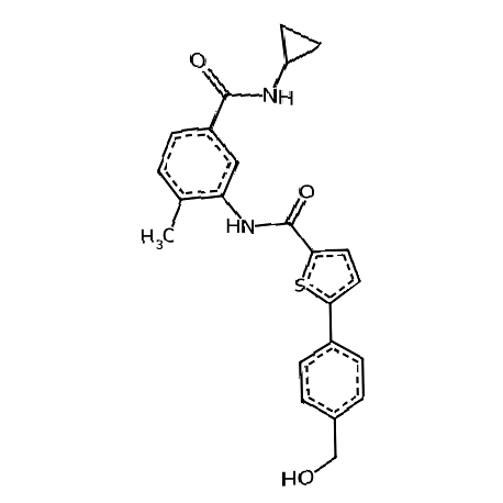 Cc1ccc(C(=O)NC2CC2)cc1NC(=O)c1ccc(-c2ccc(CO)cc2)s1